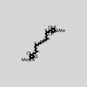 COc1cc(Cl)c(C=CC(C)=CC=CC(C)=CCCOCCC=C(C)C=CC=C(C)C=Cc2c(Cl)cc(OC)c(C)c2Cl)c(Cl)c1C